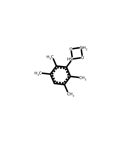 Cc1cc(C)c(C)c([SiH]2O[SiH2]O2)c1C